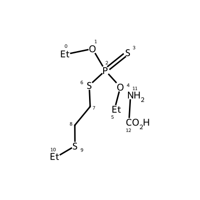 CCOP(=S)(OCC)SCCSCC.NC(=O)O